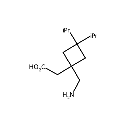 CC(C)C1(C(C)C)CC(CN)(CC(=O)O)C1